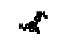 C=C/C=C(\C=C/C(=C)N)Cc1ccc(N)cc1